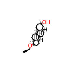 C#CCO[C@H]1CC[C@H]2[C@@H]3CC[C@H]4C[C@](C)(O)CC[C@]4(C)[C@H]3CC[C@]12C